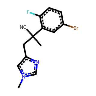 Cn1cnc(CC(C)(C#N)c2cc(Br)ccc2F)c1